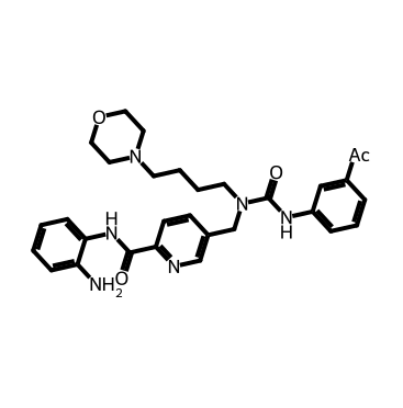 CC(=O)c1cccc(NC(=O)N(CCCCN2CCOCC2)Cc2ccc(C(=O)Nc3ccccc3N)nc2)c1